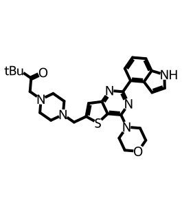 CC(C)(C)C(=O)CN1CCN(Cc2cc3nc(-c4cccc5[nH]ccc45)nc(N4CCOCC4)c3s2)CC1